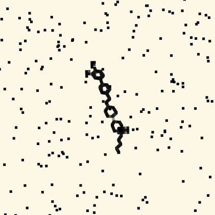 CCCCC[SiH]1CCC([C@H]2CC[C@H](CCc3ccc(-c4ccc(F)c(F)c4)cc3)CC2)CC1